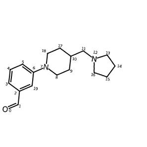 O=Cc1cccc(N2CCC(CN3CCCC3)CC2)c1